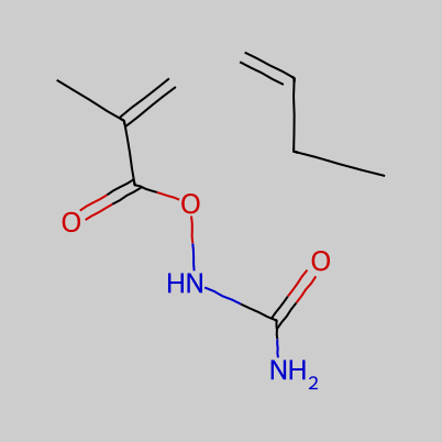 C=C(C)C(=O)ONC(N)=O.C=CCC